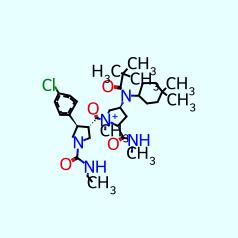 CCNC(=O)N1C[C@@H](C(=O)[N+]2(C)C[C@@H](N(C(=O)C(C)(C)C)C3CCC(C)(C)CC3)C[C@H]2C(=O)NC)[C@H](c2ccc(Cl)cc2)C1